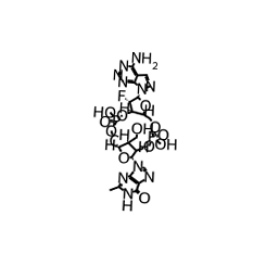 Cc1nc2c(ncn2[C@@H]2O[C@@H]3COP(=O)(O)O[C@H]4[C@H](F)[C@H](n5ncc6c(N)nnnc65)O[C@@H]4COP(=O)(O)O[C@@H]2[C@@H]3CO)c(=O)[nH]1